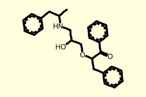 CC(Cc1ccccc1)NCC(O)COC(Cc1ccccc1)C(=O)c1ccccc1